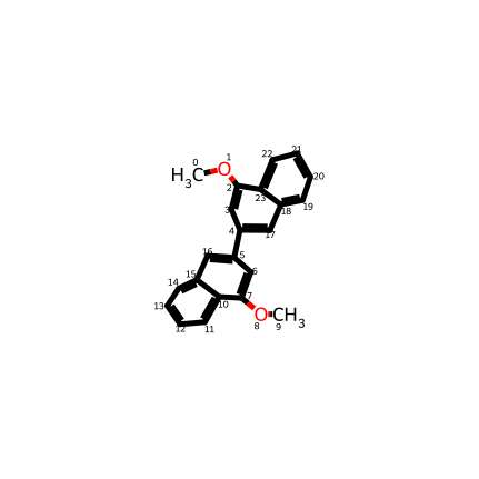 COc1cc(-c2cc(OC)c3ccccc3c2)cc2ccccc12